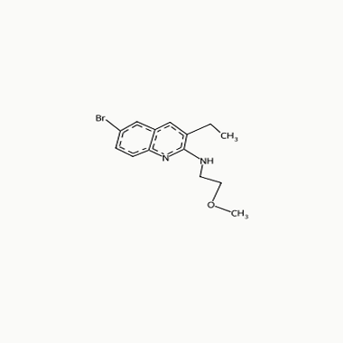 CCc1cc2cc(Br)ccc2nc1NCCOC